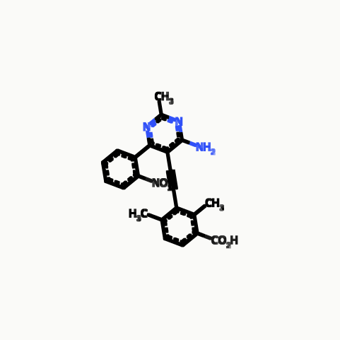 Cc1nc(N)c(C#Cc2c(C)ccc(C(=O)O)c2C)c(-c2ccccc2[N+](=O)[O-])n1